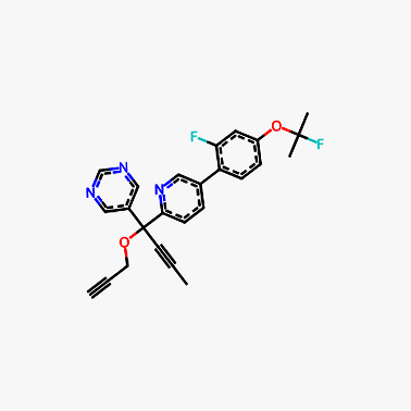 C#CCOC(C#CC)(c1cncnc1)c1ccc(-c2ccc(OC(C)(C)F)cc2F)cn1